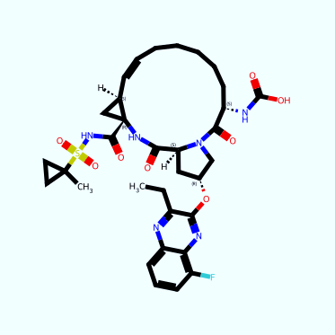 CCc1nc2cccc(F)c2nc1O[C@@H]1C[C@H]2C(=O)N[C@]3(C(=O)NS(=O)(=O)C4(C)CC4)C[C@H]3C=CCCCCC[C@H](NC(=O)O)C(=O)N2C1